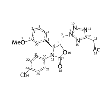 COc1cccc([C@H]2[C@H](Cn3nnc(CC(C)=O)n3)OC(=O)N2c2ccc(Cl)cc2)c1